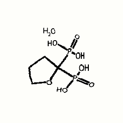 O.O=P(O)(O)C1(P(=O)(O)O)CCCO1